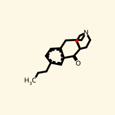 CCCc1ccc2c(c1)C(=O)C13CCN(CC1)CC3C2